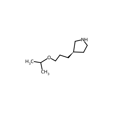 CC(C)OCCC[C@@H]1CCNC1